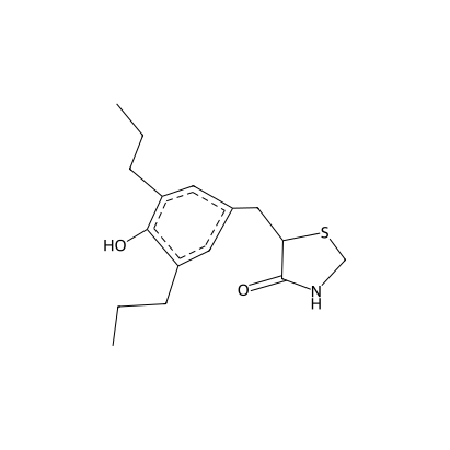 CCCc1cc(CC2SCNC2=O)cc(CCC)c1O